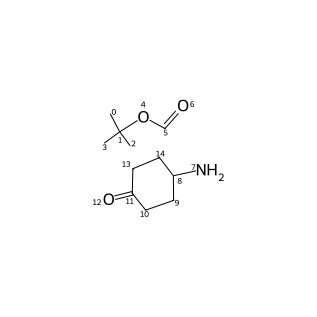 CC(C)(C)OC=O.NC1CCC(=O)CC1